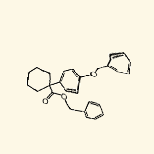 O=C(OCc1ccccc1)C1(c2ccc(OCc3ccccc3)cc2)CCCCC1